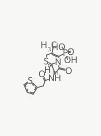 CC1=C(P(=O)(O)O)N2C(=O)[C@@H](NC(=O)Cc3cccs3)[C@@H]2SC1